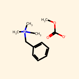 COC(=O)[O-].C[N+](C)(C)Cc1ccccc1